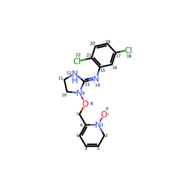 [O]N1CC=CC=C1CON1CCNC1=Nc1cc(Cl)ccc1Cl